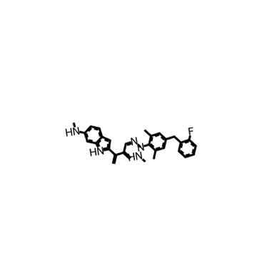 C=C(/C=N\N(NC)c1c(C)cc(Cc2ccccc2F)cc1C)C(=C)c1cc2ccc(NC)cc2[nH]1